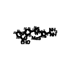 CSc1sc(C(=N)N)cc1-c1nc(-c2cccc(OC(C=O)C3CCCN3)c2)cs1